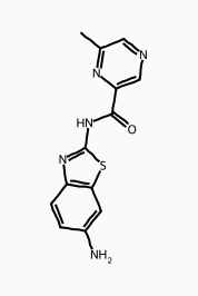 Cc1cncc(C(=O)Nc2nc3ccc(N)cc3s2)n1